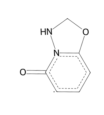 O=c1[c]ccc2n1NCO2